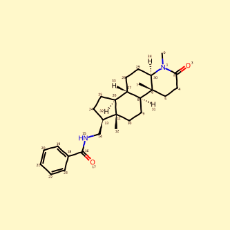 CN1C(=O)CC[C@]2(C)[C@H]3CC[C@]4(C)[C@@H](CNC(=O)c5ccccc5)CC[C@H]4[C@@H]3CC[C@@H]12